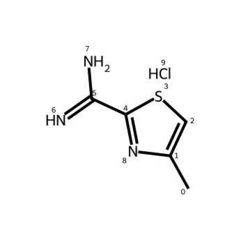 Cc1csc(C(=N)N)n1.Cl